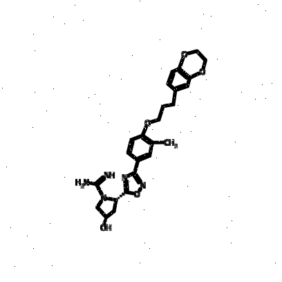 Cc1cc(-c2noc([C@@H]3C[C@@H](O)CN3C(=N)N)n2)ccc1OCCCc1ccc2c(c1)OCCO2